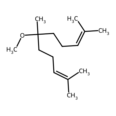 COC(C)(CCC=C(C)C)CCC=C(C)C